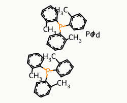 Cc1ccccc1P(c1ccccc1C)c1ccccc1C.Cc1ccccc1P(c1ccccc1C)c1ccccc1C.[Pd].[Pd]